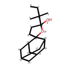 CCC(C)(C)C1(O)CCC2(O1)C1CC3CC(C1)CC2C3